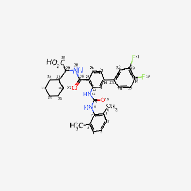 Cc1cccc(C)c1NC(=O)Nc1cc(-c2ccc(F)c(F)c2)ccc1C(=O)NC(C(=O)O)C1CCCCC1